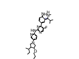 CCCOC1CN(c2ccc(Nc3ncc(F)c(C4=C/C(=C(/NC)C(C)C)C(=N)C=C4)n3)nc2)CC1C(C)CC